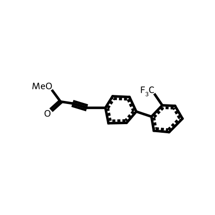 COC(=O)C#Cc1ccc(-c2ccccc2C(F)(F)F)cc1